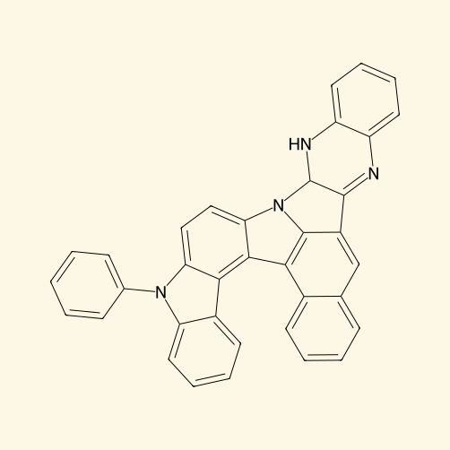 c1ccc(-n2c3ccccc3c3c4c5c6ccccc6cc6c5n(c4ccc32)C2Nc3ccccc3N=C62)cc1